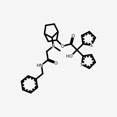 CN(CC(=O)NCc1ccccc1)C1C2CCC1C(OC(=O)C(O)(c1cccs1)c1cccs1)C2